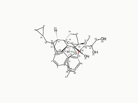 COc1ccc2c3c1O[C@H]1[C@@]4(OC)CC[C@@]5(C[C@@H]4C(O)(CC(O)CO)c4ccccc4)[C@@H](C2)N(CC2CC2)CC[C@]315